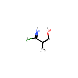 CC(CO)C(=N)Cl